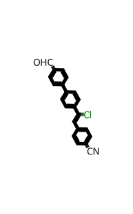 N#Cc1ccc(C=C(Cl)c2ccc(-c3ccc(C=O)cc3)cc2)cc1